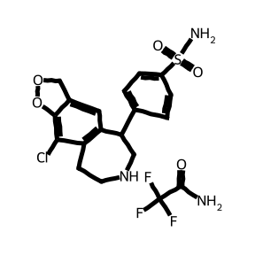 NC(=O)C(F)(F)F.NS(=O)(=O)c1ccc(C2CNCCc3c2cc2c(c3Cl)OOC2)cc1